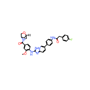 COc1cc(C(=O)N2C[C@@H]3CC2CO3)ccc1Nc1nc2ccc(-c3ccc(NC(=O)Cc4ccc(F)cc4)cc3)cn2n1